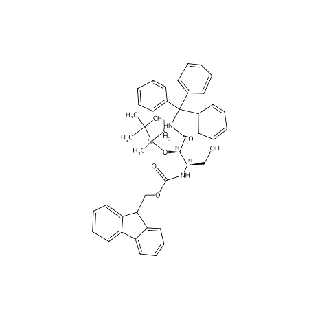 CC(C)(C)[Si](C)(C)O[C@@H](C(=O)NC(c1ccccc1)(c1ccccc1)c1ccccc1)[C@@H](CO)NC(=O)OCC1c2ccccc2-c2ccccc21